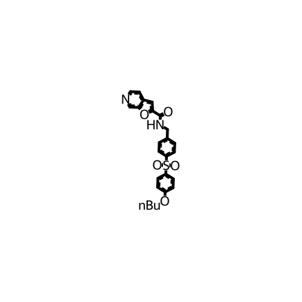 CCCCOc1ccc(S(=O)(=O)c2ccc(CNC(=O)c3cc4ccncc4o3)cc2)cc1